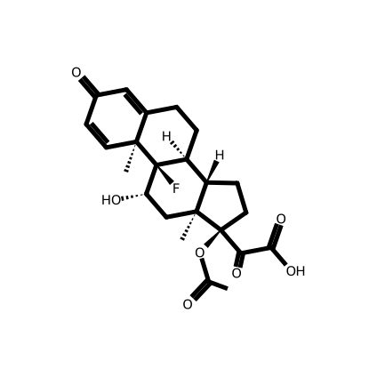 CC(=O)O[C@]1(C(=O)C(=O)O)CC[C@H]2[C@@H]3CCC4=CC(=O)C=C[C@]4(C)[C@@]3(F)[C@@H](O)C[C@@]21C